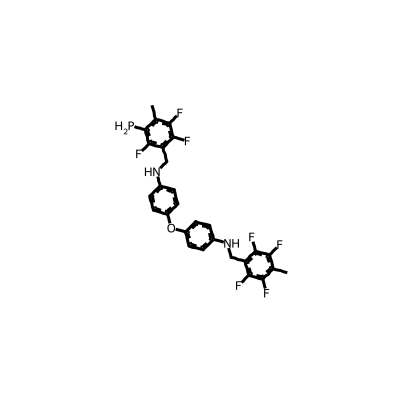 Cc1c(F)c(F)c(CNc2ccc(Oc3ccc(NCc4c(F)c(F)c(C)c(P)c4F)cc3)cc2)c(F)c1F